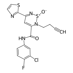 C#CCCN1C(C(=O)Nc2ccc(F)c(Cl)c2)=CC(c2nccs2)=N[S+]1[O-]